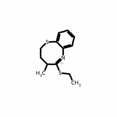 CCS/C1=N/c2ccccc2SCCC1C